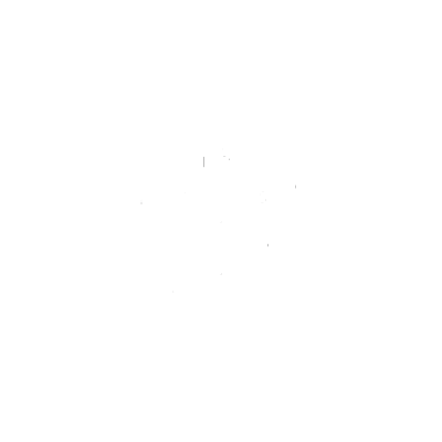 O=S(=O)(P)c1ccccc1